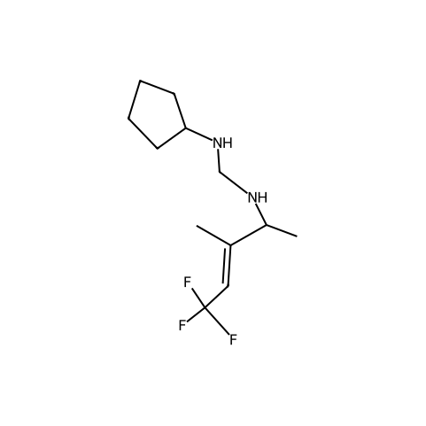 C/C(=C\C(F)(F)F)C(C)NCNC1CCCC1